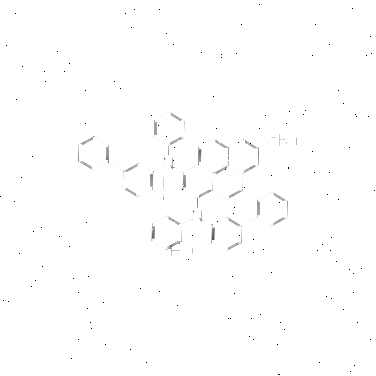 Cc1ccc(-c2ccccc2)cc1N(c1ccccc1)c1cc(N(c2ccccc2)c2cc(-c3ccccc3)ccc2C)c2ccc3cc(C(C)(C)C)cc4ccc1c2c43